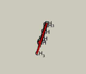 CCCCCCCCCCCCCCCC(=O)N[C@@H](CCCCNC(=O)CCOCCOCCNC(=O)CCOCCOCCNC(=O)CC)C(=O)O